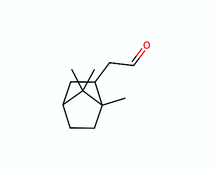 CC1(C)C2CCC1(C)C(CC=O)C2